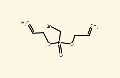 C=CCOP(=O)(CBr)OCC=C